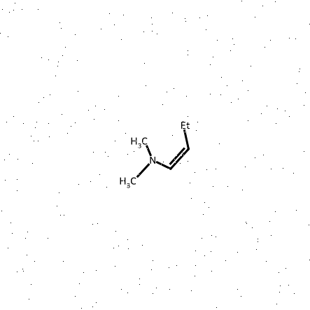 CC/C=C\N(C)C